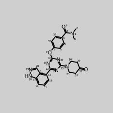 CN(C)C(=O)c1ccc(Oc2nc(-c3cccc4[nH]ncc34)nc(N3CCC(=O)CC3)n2)cc1